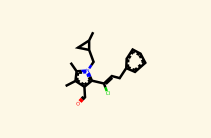 Cc1c(C=O)c(C(Cl)=CCc2ccccc2)n(CC2CC2C)c1C